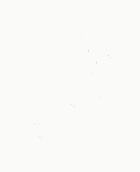 COc1ccc2ncc(Cl)c([C@@H](F)CCC3(C(=O)O)CCN(CCCCc4cccnc4)CC3)c2c1